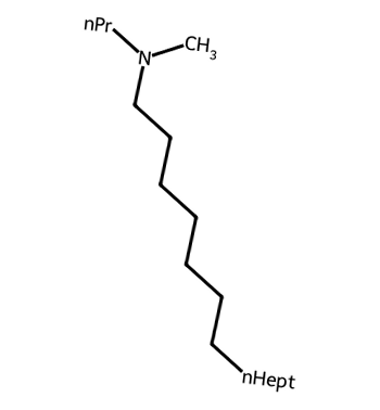 CCCCCCCCCCCCCCN(C)CCC